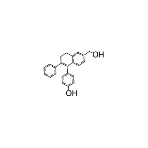 OCc1ccc2c(c1)CCC(c1ccccc1)=C2c1ccc(O)cc1